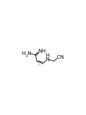 N#CCN/C=C\C(=N)N